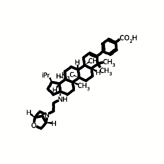 CC(C)[C@@H]1CC[C@]2(NCCN3C[C@@H]4C[C@H]3CO4)CC[C@]3(C)[C@H](CC[C@@H]4[C@@]5(C)CC=C(c6ccc(C(=O)O)cc6)C(C)(C)[C@@H]5CC[C@]43C)[C@@H]12